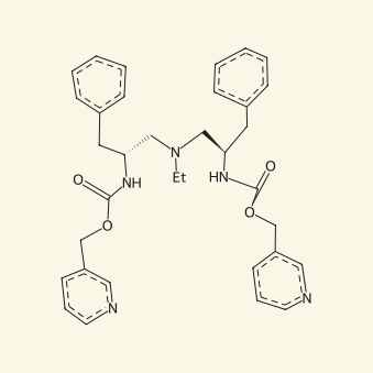 CCN(C[C@@H](Cc1ccccc1)NC(=O)OCc1cccnc1)C[C@@H](Cc1ccccc1)NC(=O)OCc1cccnc1